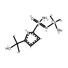 CC(C)(O)c1ccc(S(N)(=O)=N[Si](C)(C)C(C)(C)C)s1